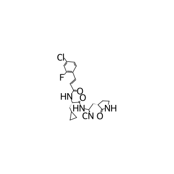 N#C[C@H](C[C@@H]1CCNC1=O)NC(=O)[C@H](CC1CC1)NC(=O)/C=C/c1ccc(Cl)cc1F